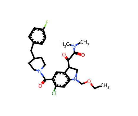 CCOCN1CC(C(=O)C(=O)N(C)C)c2cc(C(=O)N3CCC(Cc4ccc(F)cc4)CC3)c(Cl)cc21